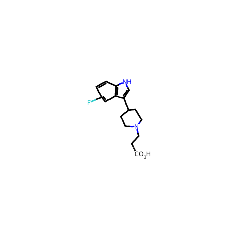 O=C(O)CCN1CCC(c2c[nH]c3ccc(F)cc23)CC1